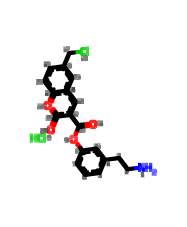 Cl.NCCc1cccc(OC(=O)c2cc3cc(CCl)ccc3oc2=O)c1